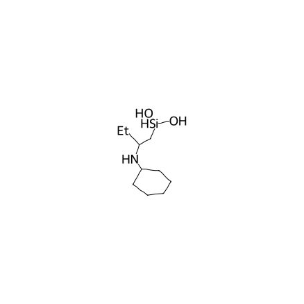 CCC(C[SiH](O)O)NC1CCCCC1